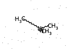 CCCCCCCCCCCCCN1C=CN(C)C1CCCCCC